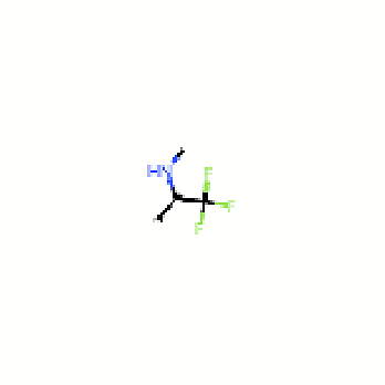 [CH2][C@@H](NC)C(F)(F)F